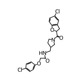 O=C(COc1ccc(Cl)cc1)NCC1CCN(C(=O)C2Cc3cc(Cl)ccc3O2)C1